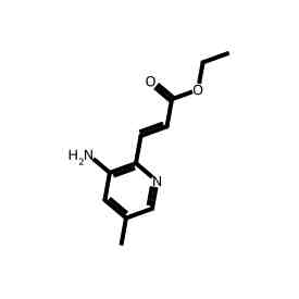 CCOC(=O)/C=C/c1ncc(C)cc1N